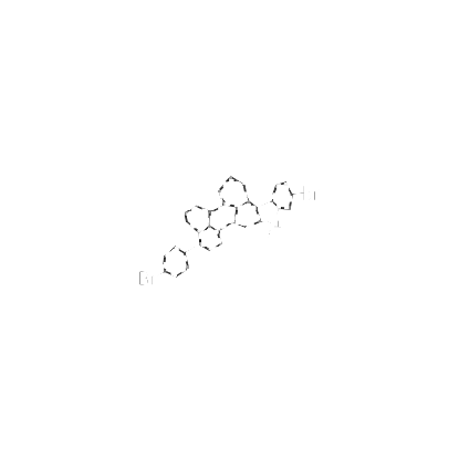 C[Si]1(C)c2cc(Br)ccc2-c2c1cc1c3ccc(-c4ccc(Br)cc4)c4cccc(c5cccc2c51)c43